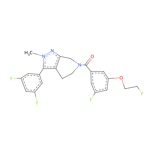 Cn1nc2c(c1-c1cc(F)cc(F)c1)CCN(C(=O)c1cc(F)cc(OCCF)c1)C2